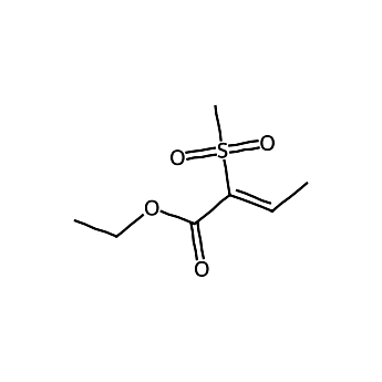 CC=C(C(=O)OCC)S(C)(=O)=O